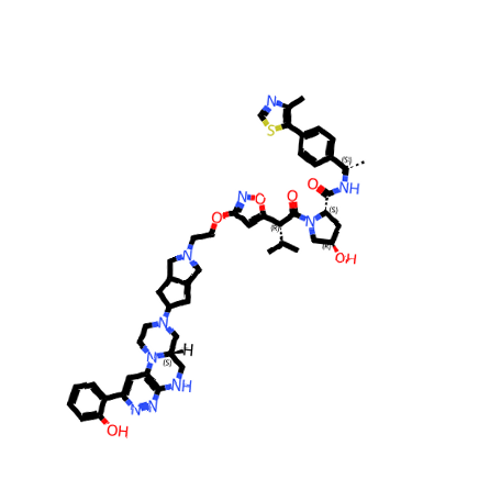 Cc1ncsc1-c1ccc([C@H](C)NC(=O)[C@@H]2C[C@@H](O)CN2C(=O)[C@@H](c2cc(OCCN3CC4CC(N5CCN6c7cc(-c8ccccc8O)nnc7NC[C@H]6C5)CC4C3)no2)C(C)C)cc1